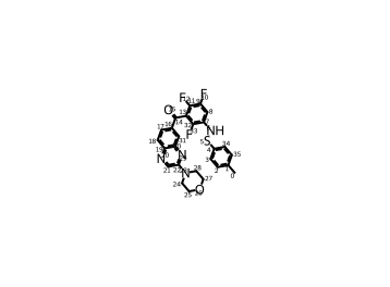 Cc1ccc(SNc2cc(F)c(F)c(C(=O)c3ccc4ncc(N5CCOCC5)nc4c3)c2F)cc1